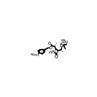 COc1ccc(COC(=O)[C@H](C)[C@H]2NC(=O)[C@@H]2[C@@H](C)O[Si](C)(C)C(C)(C)C)cc1